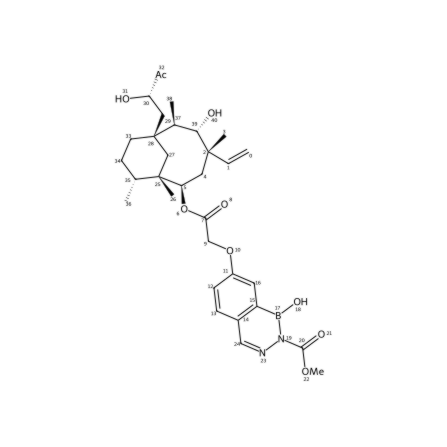 C=C[C@]1(C)C[C@@H](OC(=O)COc2ccc3c(c2)B(O)N(C(=O)OC)N=C3)[C@@]2(C)C[C@](C[C@H](O)C(C)=O)(CC[C@H]2C)[C@@H](C)[C@@H]1O